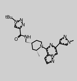 C[C@@H]1C[C@H](CNC(=O)c2cn(C(C)(C)C)nn2)CCN1c1nc(-c2cnn(C)c2)cn2nccc12